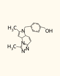 CC1=CC2C(C=Cc3nnc(C)n32)N1Cc1ccc(CO)cc1